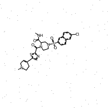 CNC(=O)C1CN(S(=O)(=O)c2ccc3cc(Cl)ccc3c2)CCN1C(=O)c1ncc(C2=CCN(C)CC2)s1